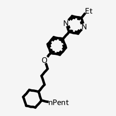 CCCCCC1CCCCC1CCCOc1ccc(-c2cnc(CC)cn2)cc1